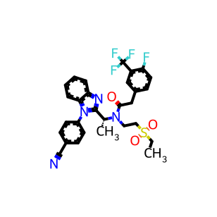 CCS(=O)(=O)CCN(C(=O)Cc1ccc(F)c(C(F)(F)F)c1)[C@H](C)c1nc2ccccc2n1-c1ccc(C#N)cc1